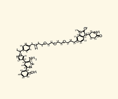 CC(c1ccc(CNCCOCCOCCOCCCc2ccc3c(c2)n(C)c(=O)n3C2CCC(=O)NC2)cc1)n1cc(-c2cc(-c3ccccc3O)nnc2N)cn1